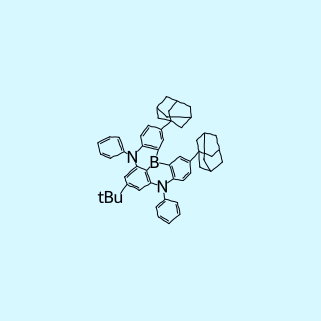 CC(C)(C)c1cc2c3c(c1)N(c1ccccc1)c1ccc(C45CC6CC(CC(C6)C4)C5)cc1B3c1cc(C34CC5CC(CC(C5)C3)C4)ccc1N2c1ccccc1